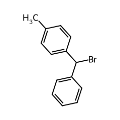 Cc1ccc(C(Br)c2ccccc2)cc1